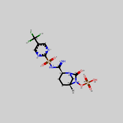 N=C(NS(=O)(=O)c1ncc(C(F)(F)F)cn1)[C@@H]1CC[C@@H]2CN1C(=O)N2OS(=O)(=O)O